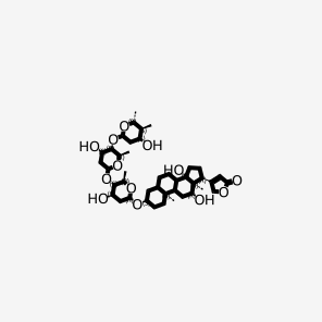 C[C@H]1[C@@H](O)CC(O[C@H]2[C@@H](O)CC(O[C@H]3[C@@H](O)C[C@H](O[C@H]4CC[C@@]5(C)C(CCC6C5C[C@@H](O)[C@]5(C)[C@@H](C7=CC(=O)OC7)CC[C@]65O)C4)O[C@@H]3C)O[C@@H]2C)O[C@@H]1C